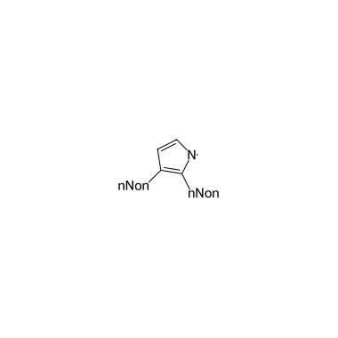 CCCCCCCCCC1=C(CCCCCCCCC)[N]C=C1